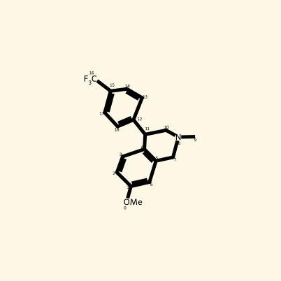 COc1ccc2c(c1)CN(C)CC2c1ccc(C(F)(F)F)cc1